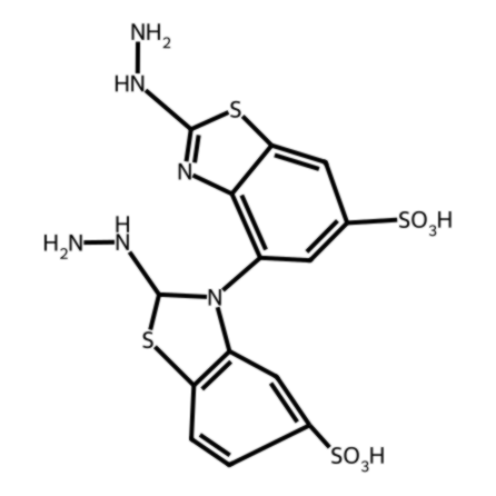 NNc1nc2c(N3c4cc(S(=O)(=O)O)ccc4SC3NN)cc(S(=O)(=O)O)cc2s1